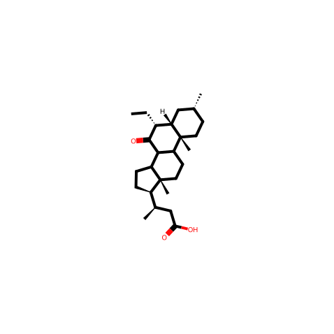 CC[C@H]1C(=O)C2C3CC[C@H]([C@H](C)CC(=O)O)[C@@]3(C)CCC2[C@@]2(C)CC[C@@H](C)C[C@@H]12